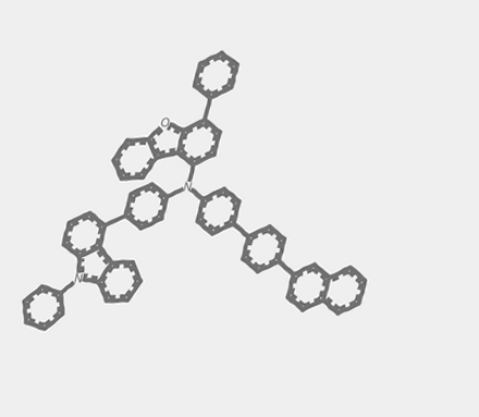 c1ccc(-c2ccc(N(c3ccc(-c4ccc(-c5ccc6ccccc6c5)cc4)cc3)c3ccc(-c4cccc5c4c4ccccc4n5-c4ccccc4)cc3)c3c2oc2ccccc23)cc1